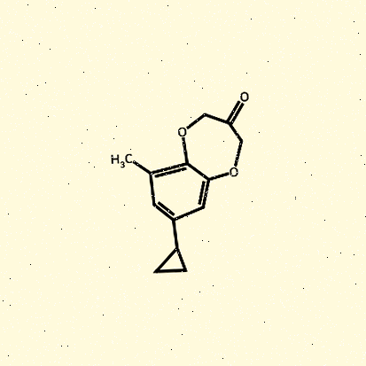 Cc1cc(C2CC2)cc2c1OCC(=O)CO2